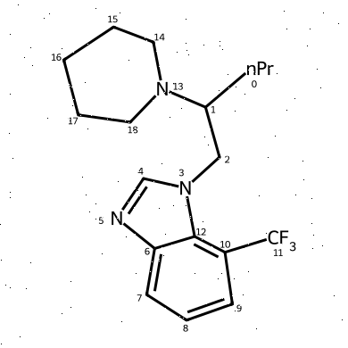 CCCC(Cn1cnc2cccc(C(F)(F)F)c21)N1CCCCC1